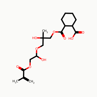 C=C(C)C(=O)OCC(O)OCC(C)(O)COC(=O)C1CCCCC1C(=O)O